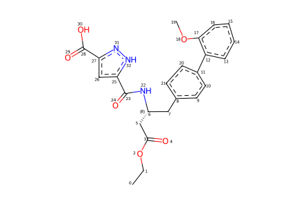 CCOC(=O)C[C@@H](Cc1ccc(-c2ccccc2OC)cc1)NC(=O)c1cc(C(=O)O)n[nH]1